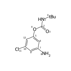 CC(C)(C)NC(=O)Oc1cc(N)cc(Cl)c1